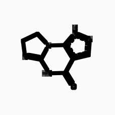 O=C1NC2=NCCN2c2[nH]ncc21